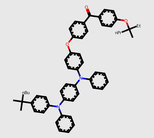 CCCCC(C)(C)c1ccc(N(c2ccccc2)c2ccc(N(c3ccccc3)c3ccc(Oc4ccc(C(=O)c5ccc(OC(C)(CC)CCC)cc5)cc4)cc3)cc2)cc1